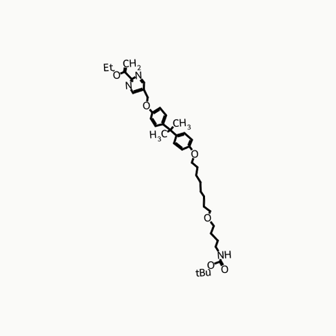 C=C(OCC)c1ncc(COc2ccc(C(C)(C)c3ccc(OCCCCCCCCOCCCCNC(=O)OC(C)(C)C)cc3)cc2)cn1